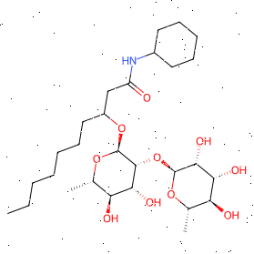 CCCCCCCC(CC(=O)NC1CCCCC1)O[C@@H]1O[C@@H](C)[C@H](O)[C@@H](O)[C@H]1O[C@@H]1O[C@@H](C)[C@H](O)[C@@H](O)[C@H]1O